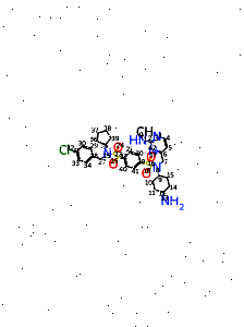 CNc1nccc(CN([C@H]2CC[C@H](N)CC2)S(=O)(=O)c2ccc(S(=O)(=O)N(Cc3ccc(Cl)cc3)C3CCCC3)cc2)n1